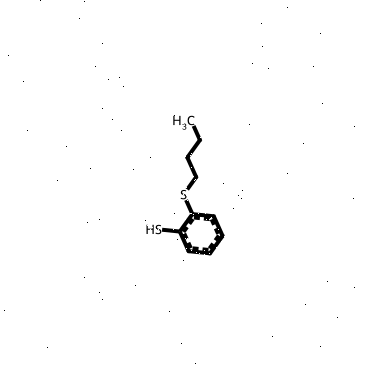 CCCCSc1ccccc1S